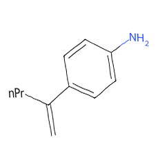 C=C(CCC)c1ccc(N)cc1